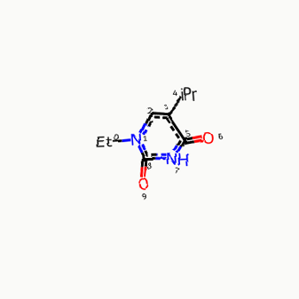 CCn1cc(C(C)C)c(=O)[nH]c1=O